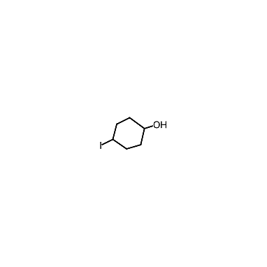 OC1CCC(I)CC1